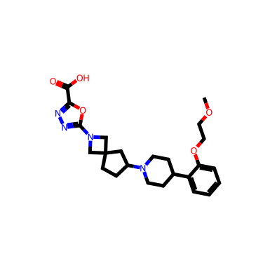 COCCOc1ccccc1C1CCN(C2CCC3(C2)CN(c2nnc(C(=O)O)o2)C3)CC1